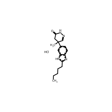 CCCCCc1nc2ccc(C3(C)C=NNC(=O)C3)cc2[nH]1.Cl